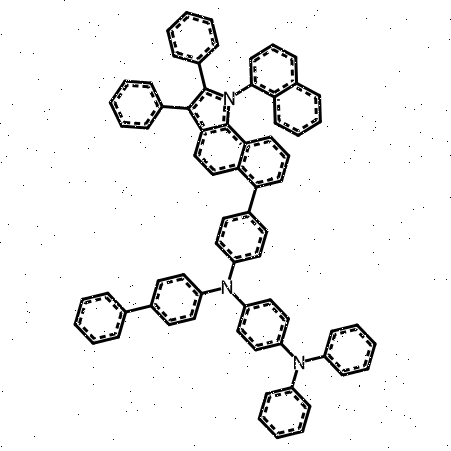 c1ccc(-c2ccc(N(c3ccc(-c4cccc5c4ccc4c(-c6ccccc6)c(-c6ccccc6)n(-c6cccc7ccccc67)c45)cc3)c3ccc(N(c4ccccc4)c4ccccc4)cc3)cc2)cc1